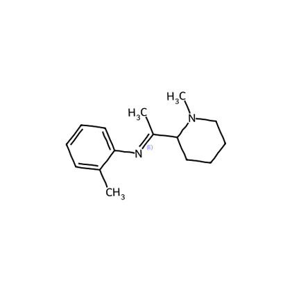 C/C(=N\c1ccccc1C)C1CCCCN1C